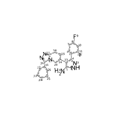 Nc1[nH]nc(-c2ccc(F)cc2F)c1-c1ccc2nnc(-c3ccccc3)n2c1